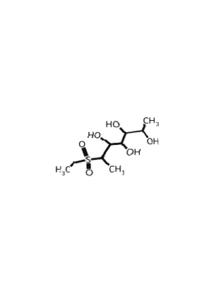 CCS(=O)(=O)C(C)C(O)C(O)C(O)C(C)O